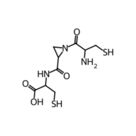 NC(CS)C(=O)N1CC1C(=O)NC(CS)C(=O)O